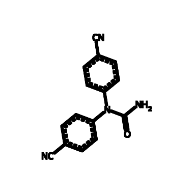 N#Cc1ccc(N(C(N)=O)c2ccc(C#N)cc2)cc1